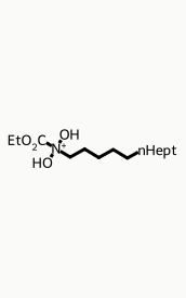 CCCCCCCCCCCC[N+](O)(O)C(=O)OCC